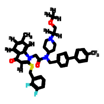 [2H]c1c(C)c([2H])c2c(c1[2H])c(=O)c([2H])c(SCc1cccc(F)c1F)n2CC(=O)N(Cc1ccc(-c2ccc(C(F)(F)F)cc2)cc1)C1CCN(C([2H])([2H])COC([2H])([2H])[2H])CC1